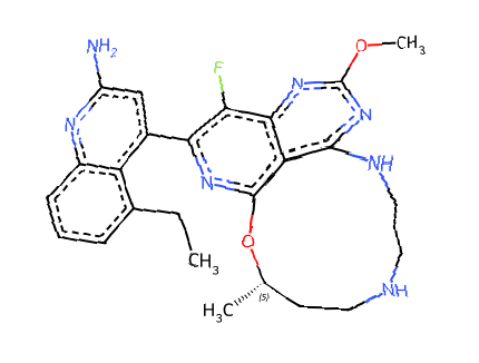 CCc1cccc2nc(N)cc(-c3nc4c5c(nc(OC)nc5c3F)NCCNCC[C@H](C)O4)c12